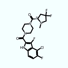 CN1CC(F)(F)C[C@@H]1C(=O)N1CCN(C(=O)c2[nH]c3ccc(F)c(Cl)c3c2F)CC1